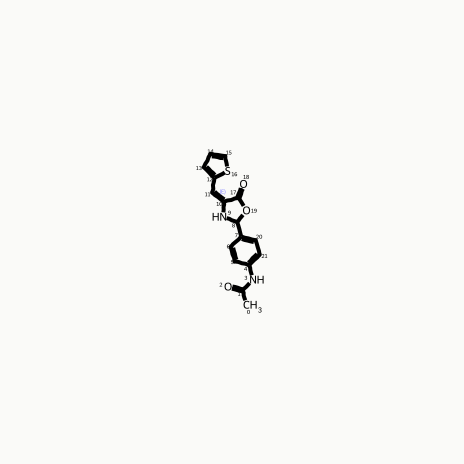 CC(=O)Nc1ccc(C2N/C(=C/c3cccs3)C(=O)O2)cc1